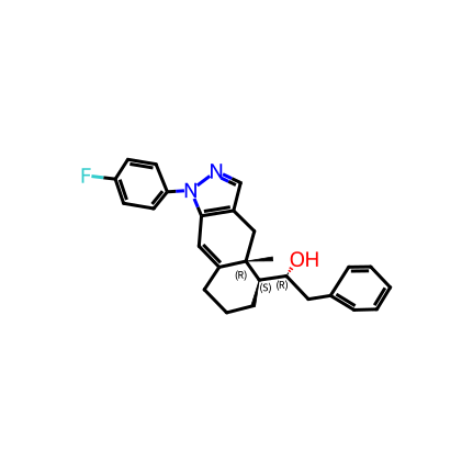 C[C@]12Cc3cnn(-c4ccc(F)cc4)c3C=C1CCC[C@@H]2[C@H](O)Cc1ccccc1